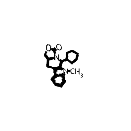 Cn1c2c(c3ccccc31)CC1COC(=O)N1C2C1CCCCC1